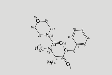 CC(C)[C@@H](C(=O)OCc1ccccc1)N(C)C(=O)N1CCOCC1